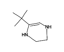 CC(C)(C)C1=CNCCN1